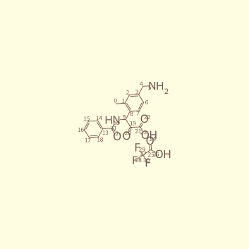 Cc1cc(CN)ccc1C(NC(=O)c1ccccc1)C(=O)C(=O)O.O=C(O)C(F)(F)F